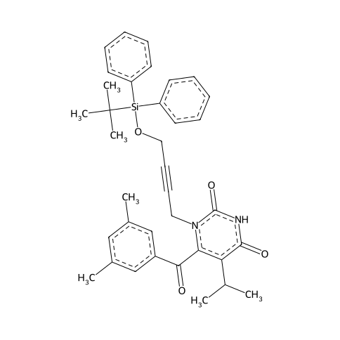 Cc1cc(C)cc(C(=O)c2c(C(C)C)c(=O)[nH]c(=O)n2CC#CCO[Si](c2ccccc2)(c2ccccc2)C(C)(C)C)c1